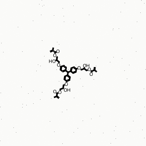 C=C(C)C(=O)OCC(O)COc1ccc(C(c2ccc(OCC(O)COC(=O)C(=C)C)cc2)c2ccc(OCC(O)COC(=O)C(=C)C)cc2)cc1